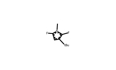 Cn1c(F)cc(C(C)(C)C)c1F